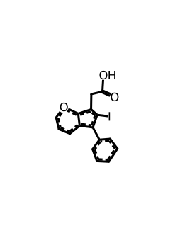 O=C(O)Cc1c2occcc-2c(-c2ccccc2)c1I